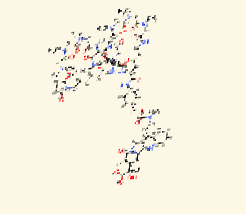 CC[C@@]1(O)C(=O)OCc2c1cc1n(c2=O)Cc2c-1nc1ccccc1c2CCN(C(=O)OCc1ccc(NC(=O)[C@H](CCCCNC(=O)CN(C)C(=O)CN(C)C(=O)CN(C)C(=O)CN(C)C(=O)CN(C)C(=O)CN(C)C(=O)CN(C)C(=O)CN(C)C(=O)CN(C)C(=O)CN(C)C(C)=O)NC(=O)[C@@H](NC(=O)CCCCCN2C(=O)C=CC2=O)C(C)C)cc1)C(C)C